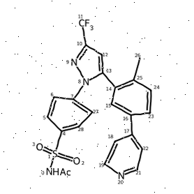 CC(=O)NS(=O)(=O)c1ccc(-n2nc(C(F)(F)F)cc2-c2cc(-c3ccncc3)ccc2C)cc1